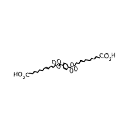 O=C(O)CCCCCCCCCCC(=O)OC(=O)c1ccc(C(=O)OC(=O)CCCCCCCCCCC(=O)O)cc1